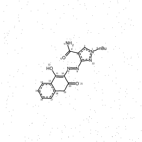 CCCCn1cc(C(N)=O)c(N=NC2=C(O)c3ccccc3CC2=O)n1